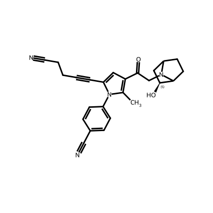 Cc1c(C(=O)CN2C3CCC2[C@@H](O)C3)cc(C#CCCC#N)n1-c1ccc(C#N)cc1